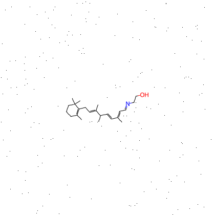 CC(=CC=NCCO)/C=C/C(C)/C(C)=C/CC1=C(C)CCCC1(C)C